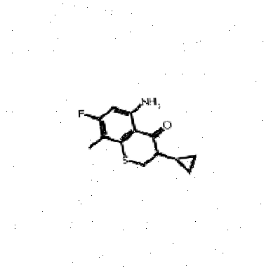 Cc1c(F)cc(N)c2c1SCC(C1CC1)C2=O